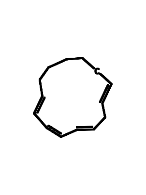 C1=C\C=C\CCCCC/C=C/C/C=C/1